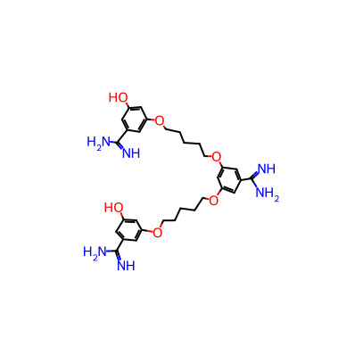 N=C(N)c1cc(O)cc(OCCCCCOc2cc(OCCCCCOc3cc(O)cc(C(=N)N)c3)cc(C(=N)N)c2)c1